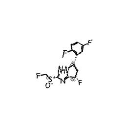 [O-][S@@+](CF)c1nc2n(n1)[C@H](c1cc(F)ccc1F)C[C@@H]2F